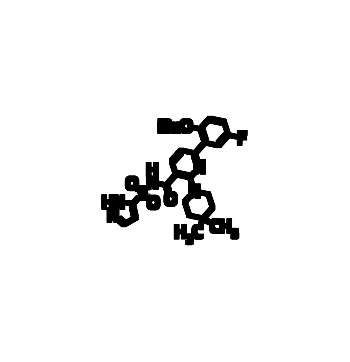 CC(C)COc1ccc(F)cc1-c1ccc(C(=O)NS(=O)(=O)c2ccn[nH]2)c(N2CCC(C)(C)CC2)n1